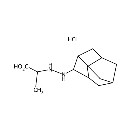 CC(NNC1C2CC3CC(C2)CC1C3)C(=O)O.Cl